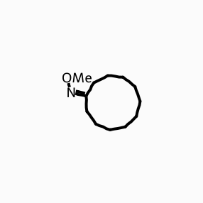 CON=C1CCCCCCCCCC1